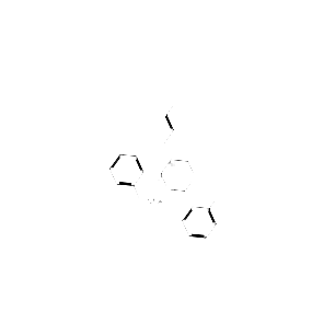 COc1ccccc1[C@H]1O[C@@H](c2ccccc2Cl)OC[C@H]1CC=CC(=O)O